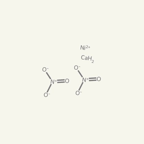 O=[N+]([O-])[O-].O=[N+]([O-])[O-].[CaH2].[Ni+2]